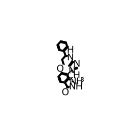 Cn1cnc(NC(CCOc2ccc3c(=O)[nH][nH]c3c2)c2ccccc2)c1